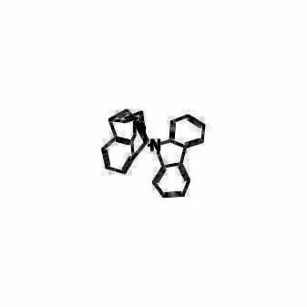 c1cc2c3c(c1)-c1ccc-2cc1[N]3.c1ccc2c(c1)[N]c1ccccc1-2